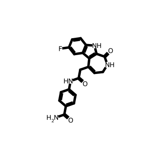 NC(=O)c1ccc(NC(=O)CC2=CCNC(=O)c3[nH]c4ccc(F)cc4c32)cc1